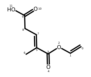 C=COC(=O)C(C)=CCC(=O)O